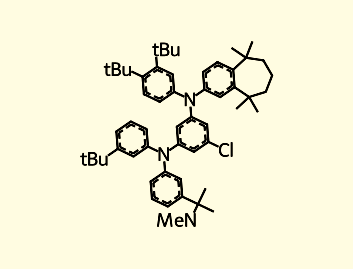 CNC(C)(C)c1cccc(N(c2cc(Cl)cc(N(c3ccc(C(C)(C)C)c(C(C)(C)C)c3)c3ccc4c(c3)C(C)(C)CCCC4(C)C)c2)c2cccc(C(C)(C)C)c2)c1